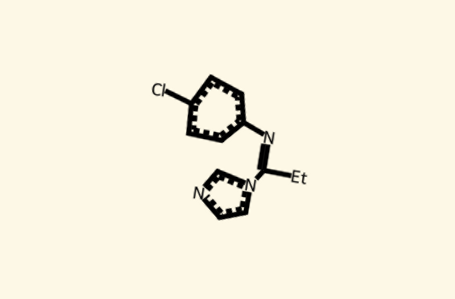 CCC(=Nc1ccc(Cl)cc1)n1ccnc1